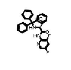 O=C(Nc1ncc(F)cc1F)[C@H](CO)NC(c1ccccc1)(c1ccccc1)c1ccccc1